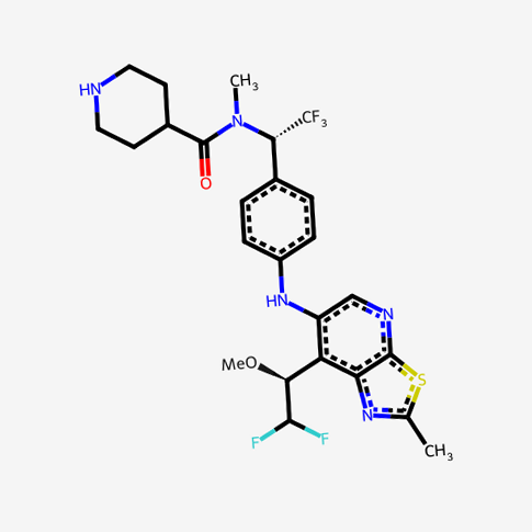 CO[C@@H](c1c(Nc2ccc([C@H](N(C)C(=O)C3CCNCC3)C(F)(F)F)cc2)cnc2sc(C)nc12)C(F)F